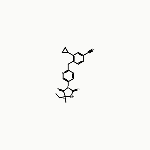 CC[C@@]1(C)NC(=O)N(c2ccc(Cc3ccc(C#N)cc3C3CC3)nc2)C1=O